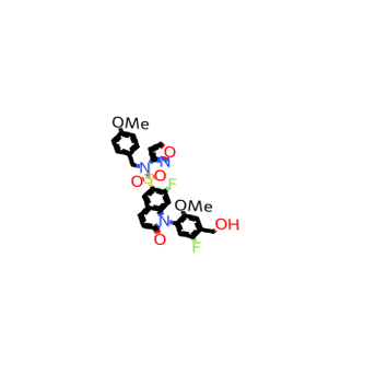 COc1ccc(CN(c2ccon2)S(=O)(=O)c2cc3ccc(=O)n(-c4cc(F)c(CO)cc4OC)c3cc2F)cc1